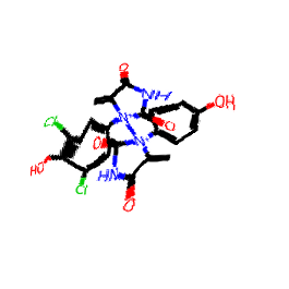 C=C1C(=O)NC(=O)[N+]1(c1ccc(O)cc1)[N+]1(c2cc(Cl)c(O)c(Cl)c2)C(=C)C(=O)NC1=O